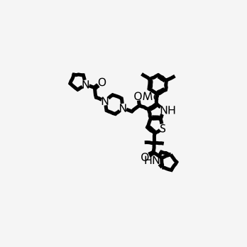 COC(CN1CCN(CC(=O)N2CCCC2)CC1)c1c(-c2cc(C)cc(C)c2)[nH]c2sc(C(C)(C)C(=O)C3C4CCC3NC4)cc12